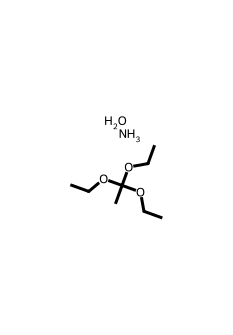 CCOC(C)(OCC)OCC.N.O